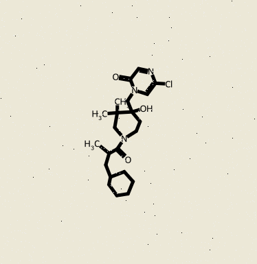 CC(CC1CCCCC1)C(=O)N1CCC(O)(Cn2cc(Cl)ncc2=O)C(C)(C)C1